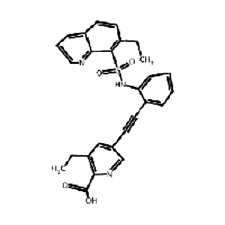 CCc1cc(C#Cc2ccccc2NS(=O)(=O)c2c(CC)ccc3cccnc23)cnc1C(=O)O